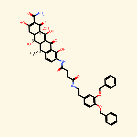 C[C@H]1c2ccc(NC(=O)CCC(=O)NCCc3ccc(OCc4ccccc4)c(OCc4ccccc4)c3)c(O)c2C(=O)C2=C(O)[C@]3(O)C(=O)C(C(N)=O)=C(O)CC3[C@@H](O)C21